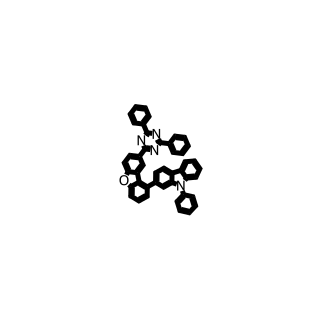 c1ccc(-c2nc(-c3ccccc3)nc(-c3ccc4oc5cccc(-c6ccc7c8ccccc8n(-c8ccccc8)c7c6)c5c4c3)n2)cc1